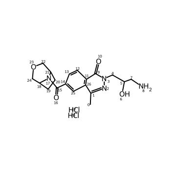 Cc1nn(CC(O)CN)c(=O)c2ccc(C(=O)N3C4CCC3COC4)cc12.Cl.Cl